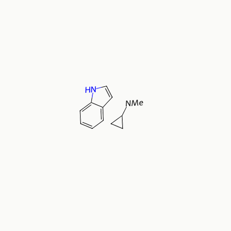 CNC1CC1.c1ccc2[nH]ccc2c1